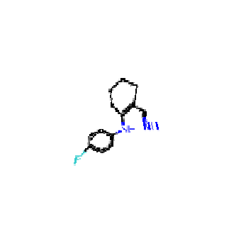 N=CC1=C(Nc2ccc(F)cc2)CCCC1